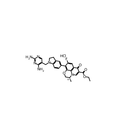 CCOC(=O)c1cn2c3c(c(-c4ccc5c(c4)CCN5Cc4cnc(N)nc4N)c(F)cc3c1=O)OC[C@@H]2C.Cl